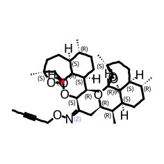 CC#CCO/N=C(/C[C@H]1O[C@@H]2C[C@]3(C)CC[C@H]4[C@H](C)CC[C@@H]([C@H]1C)[C@@]24OO3)[C@H]1O[C@@H]2C[C@]3(C)CC[C@H]4[C@H](C)CC[C@@H]([C@H]1C)[C@@]24OO3